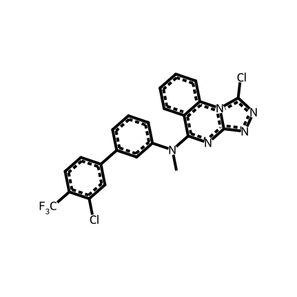 CN(c1cccc(-c2ccc(C(F)(F)F)c(Cl)c2)c1)c1nc2nnc(Cl)n2c2ccccc12